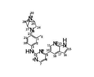 Cc1cc(Nc2nccc(-c3cnc4[nH]ccc4c3)n2)ccc1N1CC2CC1CN2C